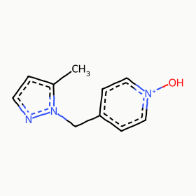 Cc1ccnn1Cc1cc[n+](O)cc1